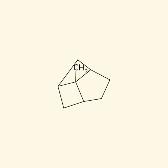 CC12C3CCC1CC2C3